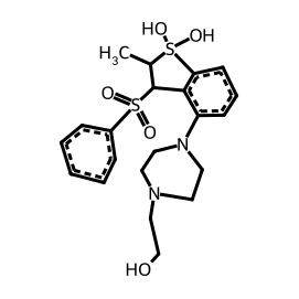 CC1C(S(=O)(=O)c2ccccc2)c2c(N3CCN(CCO)CC3)cccc2S1(O)O